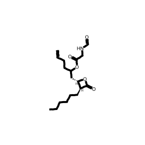 C=CCCC(C[C@@H]1OC(=O)[C@H]1CCCCCC)OC(=O)CNC=O